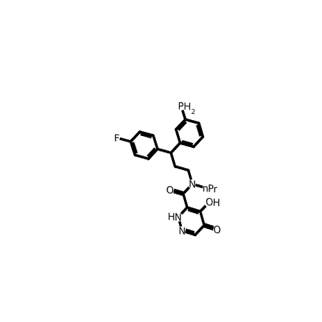 CCCN(CCC(c1ccc(F)cc1)c1cccc(P)c1)C(=O)c1[nH]ncc(=O)c1O